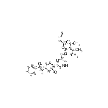 CC(C)N(C(C)C)P(OCCC#N)OCC1CNC[C@H](n2ccc(NC(=O)c3ccccc3)nc2=O)O1